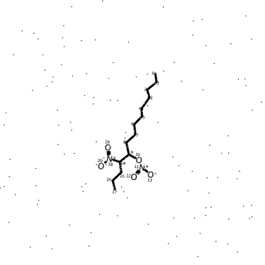 CCCCCCCCCC(O[N+](=O)[O-])C(CCC)[N+](=O)[O-]